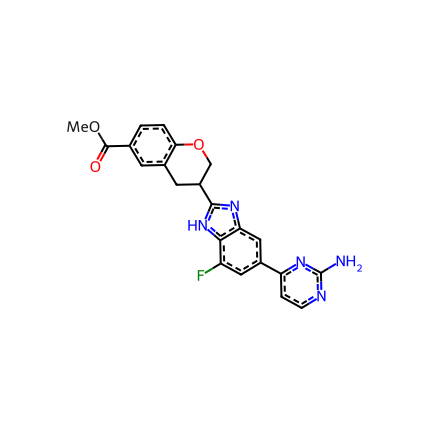 COC(=O)c1ccc2c(c1)CC(c1nc3cc(-c4ccnc(N)n4)cc(F)c3[nH]1)CO2